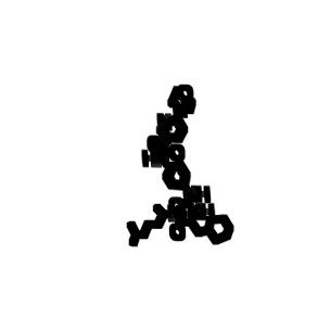 CC(C)CCCC(C)NC(=O)C(CC1CCCCC1)NC(=O)Nc1ccc(NS(=O)(=O)c2ccc(N3CCOCC3)nc2)cc1